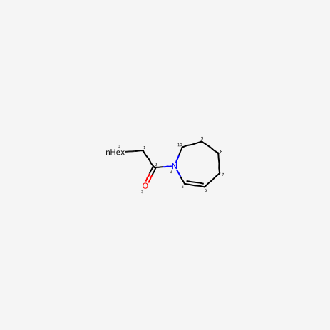 CCCCCCCC(=O)N1C=CCCCC1